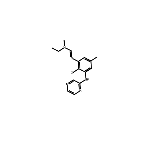 CCN(C)C=Nc1cc(C)cc(Nc2cnccn2)c1Cl